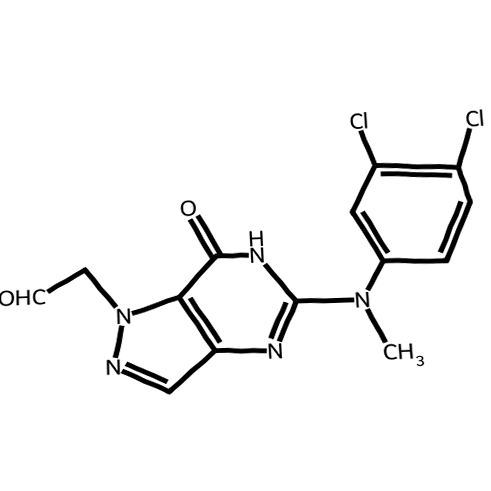 CN(c1ccc(Cl)c(Cl)c1)c1nc2cnn(CC=O)c2c(=O)[nH]1